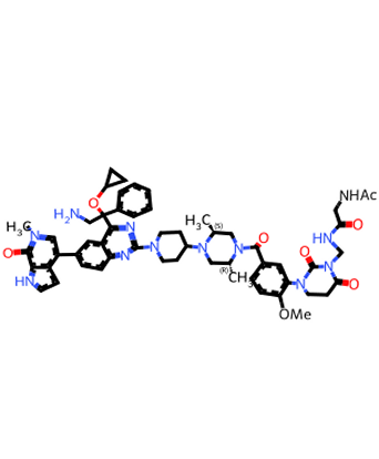 COc1ccc(C(=O)N2C[C@H](C)N(C3CCN(c4nc(C(CN)(OC5CC5)c5ccccc5)c5cc(-c6cn(C)c(=O)c7[nH]ccc67)ccc5n4)CC3)C[C@H]2C)cc1N1CCC(=O)N(CNC(=O)CNC(C)=O)C1=O